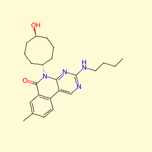 CCCCNc1ncc2c3ccc(C)cc3c(=O)n([C@H]3CCC[C@H](O)CCC3)c2n1